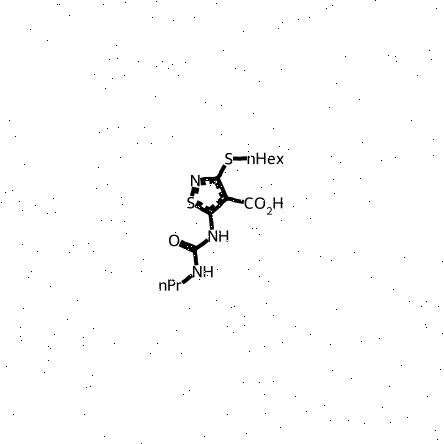 CCCCCCSc1nsc(NC(=O)NCCC)c1C(=O)O